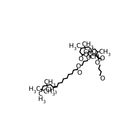 COCC(COC(=O)CCCCCCC/C=C\CC(C)(C)CC(C)(C)C)OC(=O)CC(C)C(C)(C)CN(C)CC(C)CC(=O)OCCCC=O